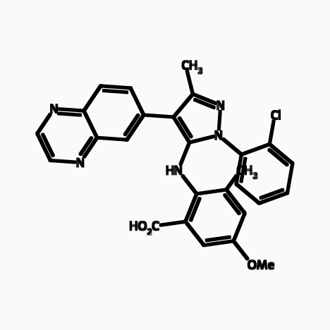 COc1cc(C)c(Nc2c(-c3ccc4nccnc4c3)c(C)nn2-c2ccccc2Cl)c(C(=O)O)c1